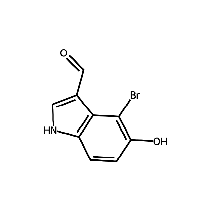 O=Cc1c[nH]c2ccc(O)c(Br)c12